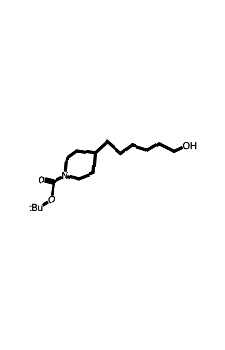 CC(C)(C)OC(=O)N1CCC(CCCCCCO)CC1